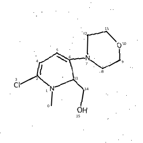 CN1C(Cl)=CC=C(N2CCOCC2)C1CO